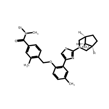 CCN(C)C(=O)c1ccc(COc2ccc(C)cc2-c2csc(N3C[C@H]4CC[C@@H](C3)[C@H]4C(=O)O)n2)c(C)c1